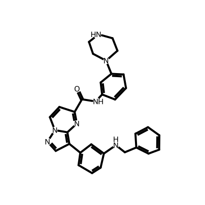 O=C(Nc1cccc(N2CCNCC2)c1)c1ccn2ncc(-c3cccc(NCc4ccccc4)c3)c2n1